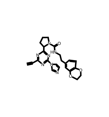 C#Cc1nc(C2CCCN2C(=O)NCCc2ccc3c(c2)OCCO3)nc(-n2ccnc2)n1